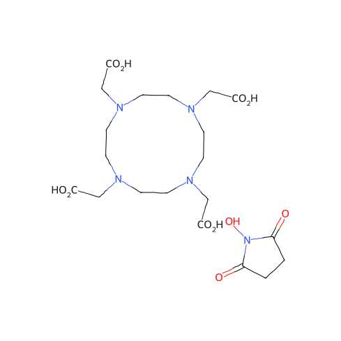 O=C(O)CN1CCN(CC(=O)O)CCN(CC(=O)O)CCN(CC(=O)O)CC1.O=C1CCC(=O)N1O